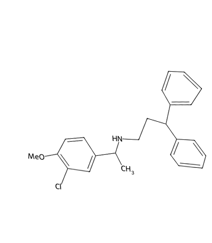 COc1ccc(C(C)NCCC(c2ccccc2)c2ccccc2)cc1Cl